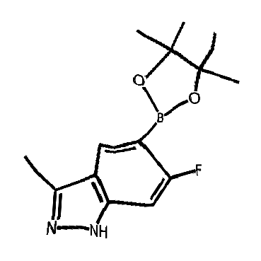 Cc1n[nH]c2cc(F)c(B3OC(C)(C)C(C)(C)O3)cc12